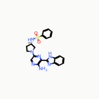 Nc1ncc(N2CC[C@H](NS(=O)(=O)c3ccccc3)C2)nc1-c1nc2ccccc2[nH]1